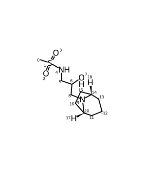 CS(=O)(=O)NCC(O)CN1[C@@H]2C[CH]C[C@H]1CC2